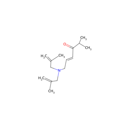 C=C(C)CN(C/C=C/C(=O)C(C)C)CC(=C)C